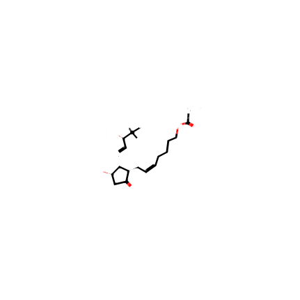 CCCCC(C)(C)[C@H](O)/C=C/[C@H]1[C@H](O)CC(=O)[C@@H]1C/C=C\CCCCOC(=O)NC(C)=O